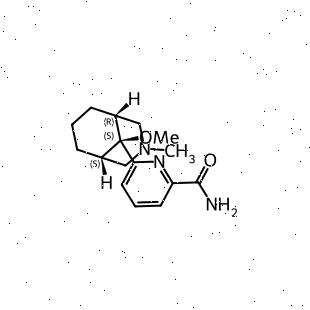 CO[C@]1(c2cccc(C(N)=O)n2)[C@@H]2CCC[C@H]1CN(C)C2